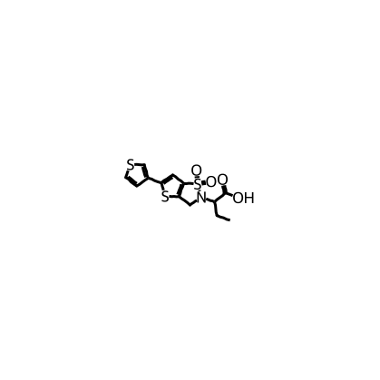 CCC(C(=O)O)N1Cc2sc(-c3ccsc3)cc2S1(=O)=O